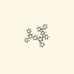 c1ccc(-c2cc(-c3ccc(-c4nc(-c5ccccc5)nc(-n5c6ccccc6c6cc7c(cc65)c5ccccc5n7-c5ccccc5)n4)cc3)nc(-c3ccccc3)n2)cc1